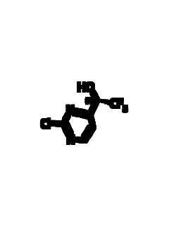 O[C@@H](c1ccnc(Cl)n1)C(F)(F)F